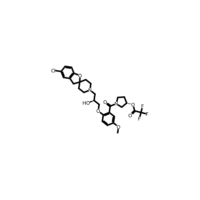 COc1ccc(OC[C@@H](O)CN2CCC3(CC2)Cc2cc(Cl)ccc2O3)c(C(=O)N2CC[C@H](OC(=O)C(F)(F)F)C2)c1